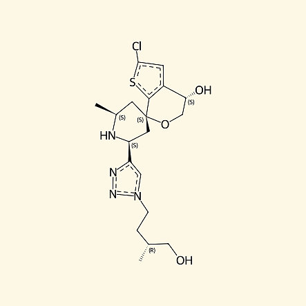 C[C@@H](CO)CCn1cc([C@@H]2C[C@]3(C[C@H](C)N2)OC[C@@H](O)c2cc(Cl)sc23)nn1